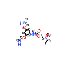 C=C(C)N(CCOC(=O)NCc1cc(OCNC)cc(OCNC)c1)OC